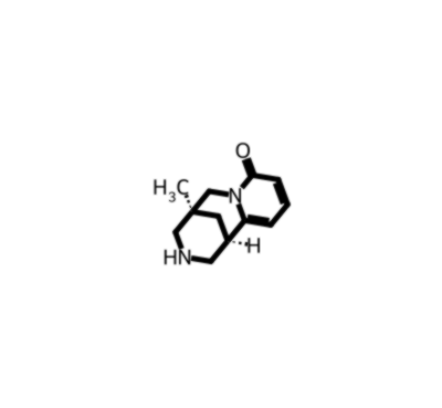 C[C@@]12CNC[C@@H](C1)c1cccc(=O)n1C2